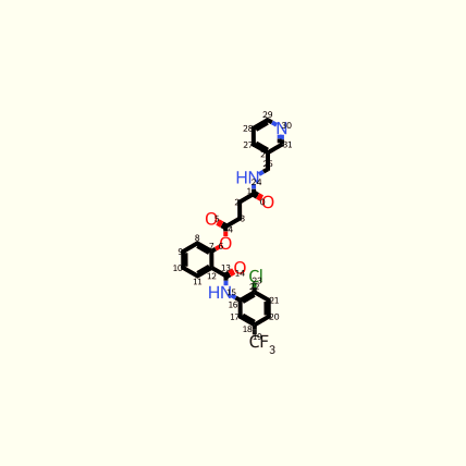 O=C(CCC(=O)Oc1ccccc1C(=O)Nc1cc(C(F)(F)F)ccc1Cl)NCc1cccnc1